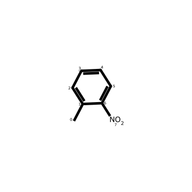 Cc1c[c]ccc1[N+](=O)[O-]